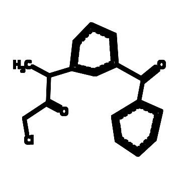 CC(C(=O)CCl)c1cccc(C(=O)c2ccccc2)c1